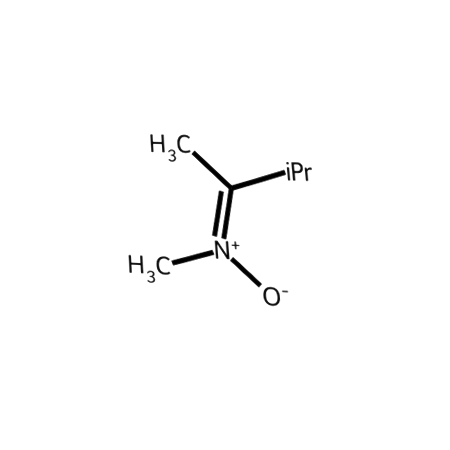 CC(C(C)C)=[N+](C)[O-]